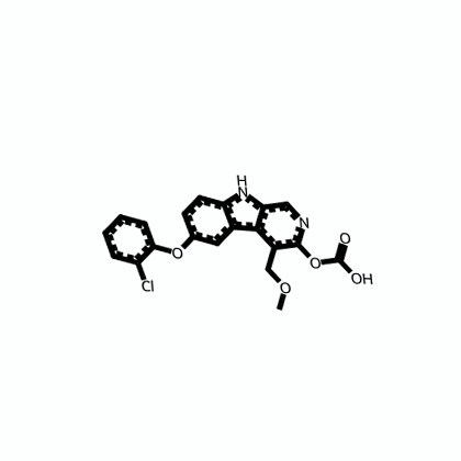 COCc1c(OC(=O)O)ncc2[nH]c3ccc(Oc4ccccc4Cl)cc3c12